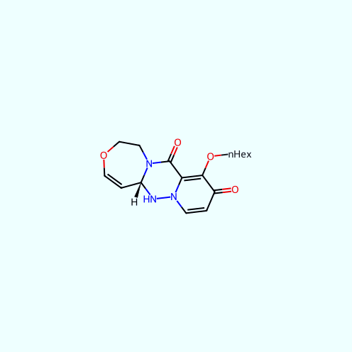 CCCCCCOc1c2n(ccc1=O)N[C@@H]1C=COCCN1C2=O